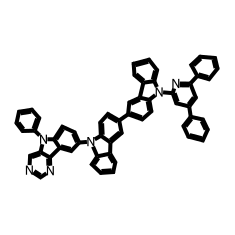 c1ccc(-c2cc(-c3ccccc3)nc(-n3c4ccccc4c4cc(-c5ccc6c(c5)c5ccccc5n6-c5ccc6c(c5)c5ncncc5n6-c5ccccc5)ccc43)c2)cc1